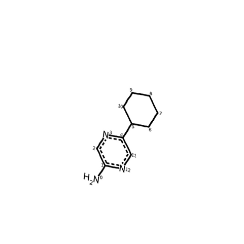 Nc1cnc(C2CCCCC2)cn1